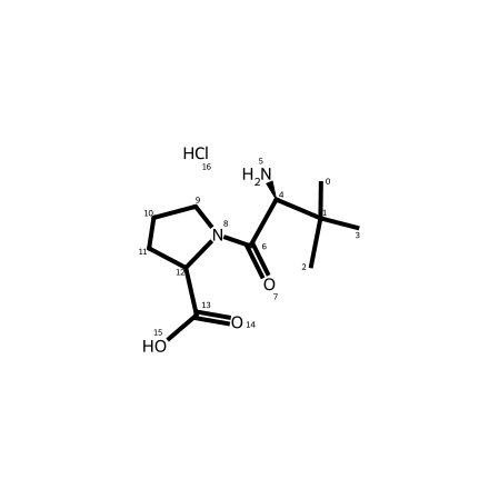 CC(C)(C)[C@H](N)C(=O)N1CCCC1C(=O)O.Cl